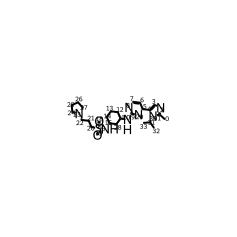 Cc1ncc(-c2ccnc(NC3CCCC(NS(=O)(=O)CCCN4CCCC4)C3)n2)n1C(C)C